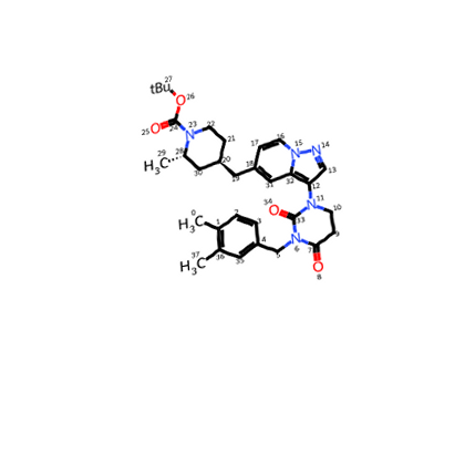 Cc1ccc(CN2C(=O)CCN(c3cnn4ccc(C[C@@H]5CCN(C(=O)OC(C)(C)C)[C@@H](C)C5)cc34)C2=O)cc1C